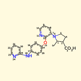 CC1C(C(=O)O)CCN1c1cccnc1Oc1ccc(Nc2ccccn2)cc1